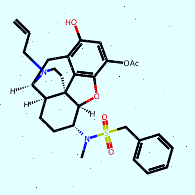 C=CCN1CC[C@]23c4c5c(O)cc(OC(C)=O)c4O[C@H]2[C@H](N(C)S(=O)(=O)Cc2ccccc2)CC[C@H]3[C@H]1C5